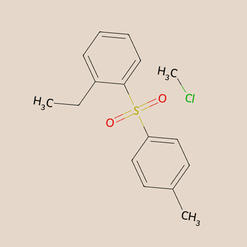 CCc1ccccc1S(=O)(=O)c1ccc(C)cc1.CCl